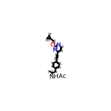 CC(=O)NC(C)Cc1ccc(C#Cc2ccnc(OCC3CC3)n2)cc1